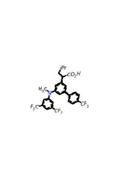 CC(C)CC(C(=O)O)c1cc(-c2ccc(C(F)(F)F)cc2)cc(N(C)c2cc(C(F)(F)F)cc(C(F)(F)F)c2)c1